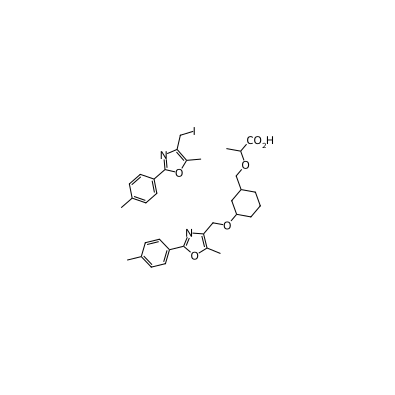 Cc1ccc(-c2nc(CI)c(C)o2)cc1.Cc1ccc(-c2nc(COC3CCCC(COC(C)C(=O)O)C3)c(C)o2)cc1